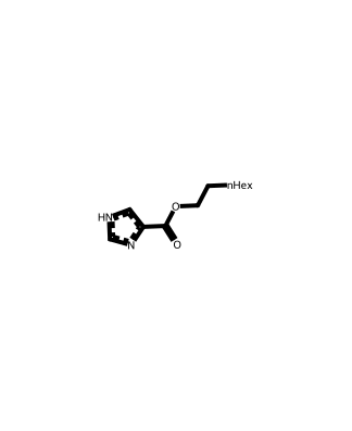 CCCCCCCCOC(=O)c1c[nH]cn1